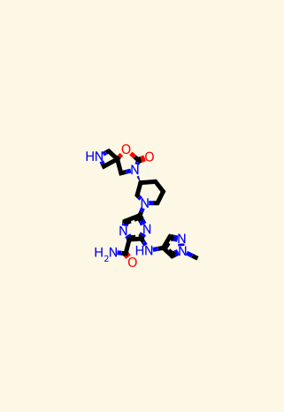 Cn1cc(Nc2nc(N3CCC[C@@H](N4CC5(CNC5)OC4=O)C3)cnc2C(N)=O)cn1